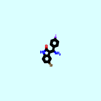 NC(=C1C(=O)Nc2ccc(Br)cc21)c1ccc(I)cc1